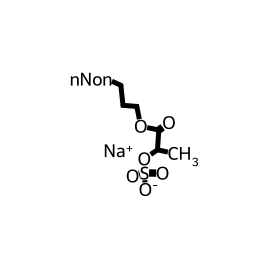 CCCCCCCCCCCCOC(=O)C(C)OS(=O)(=O)[O-].[Na+]